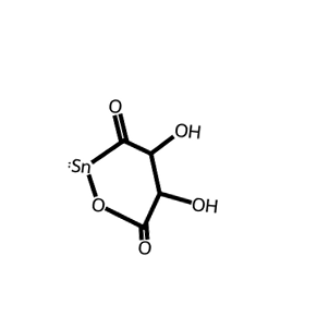 O=C1[O][Sn][C](=O)C(O)C1O